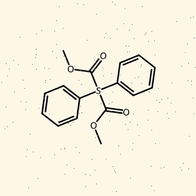 COC(=O)S(C(=O)OC)(c1ccccc1)c1ccccc1